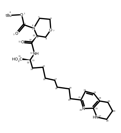 CC(C)(C)OC(=O)N1CCOC[C@H]1C(=O)N[C@@H](CCCCCCCc1ccc2c(n1)NCCC2)C(=O)O